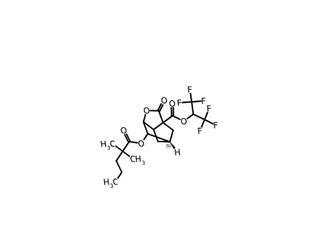 CCCC(C)(C)C(=O)OC1C2OC(=O)C3(C(=O)OC(C(F)(F)F)C(F)(F)F)C[C@@H]1CC23